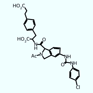 CC(=O)N1Cc2cc(NC(=O)Nc3ccc(Cl)cc3)ccc2C1C(=O)NC(Cc1ccc(CCC(=O)O)cc1)C(=O)O